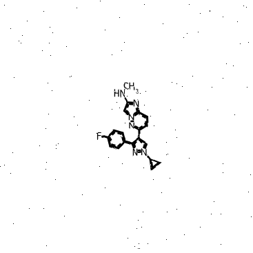 CNc1cn2nc(-c3cn(C4CC4)nc3-c3ccc(F)cc3)ccc2n1